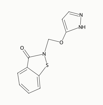 O=c1c2ccccc2sn1COc1ccn[nH]1